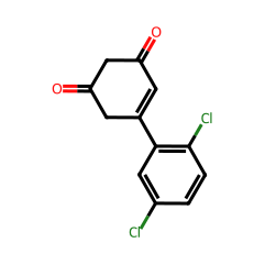 O=C1C=C(c2cc(Cl)ccc2Cl)CC(=O)C1